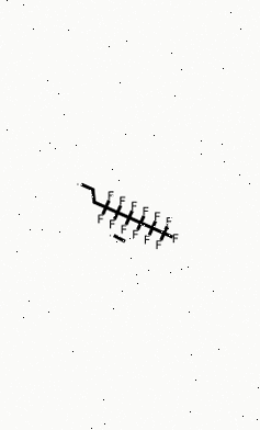 [CH2]C.[CH2]CCC(F)(F)C(F)(F)C(F)(F)C(F)(F)C(F)(F)C(F)(F)F